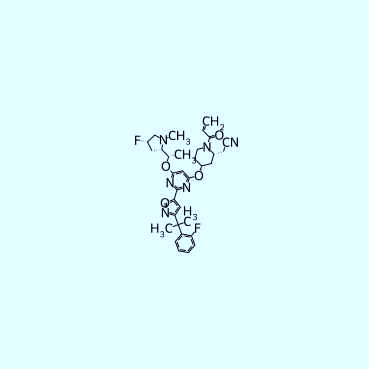 C=CC(=O)N1CC[C@H](Oc2cc(O[C@@H](C)[C@@H]3C[C@H](F)CN3C)nc(-c3cc(C(C)(C)c4ccccc4F)no3)n2)C[C@H]1CC#N